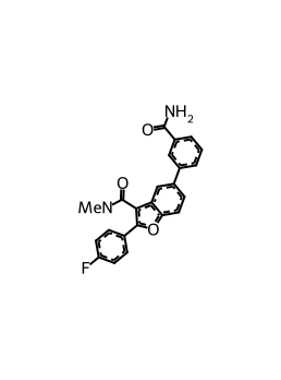 CNC(=O)c1c(-c2ccc(F)cc2)oc2ccc(-c3cccc(C(N)=O)c3)cc12